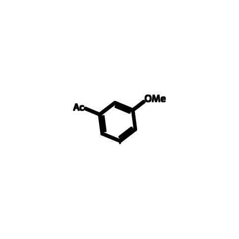 COc1c[c]cc(C(C)=O)c1